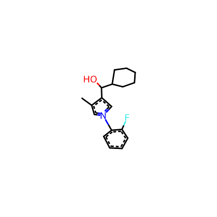 Cc1cn(-c2ccccc2F)cc1C(O)C1CCCCC1